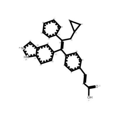 O=C(O)C=Cc1ccc(C(=C(CC2CC2)c2ccccc2)c2ccc3[nH]ncc3c2)cc1